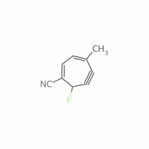 CC1=CC=C(C#N)C(F)C#C1